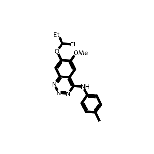 CCC(Cl)Oc1cc2nnnc(Nc3ccc(C)cc3)c2cc1OC